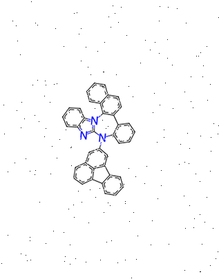 c1ccc2c(c1)-c1cccc3cc(N4c5ccccc5-c5ccc6ccccc6c5-n5c4nc4ccccc45)cc-2c13